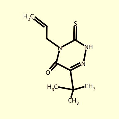 C=CCn1c(=S)[nH]nc(C(C)(C)C)c1=O